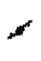 O=C(O)CCCC(=O)OC1CO[C@@H]2[C@@H](OC(=O)CCCC(=O)O)CO[C@H]12